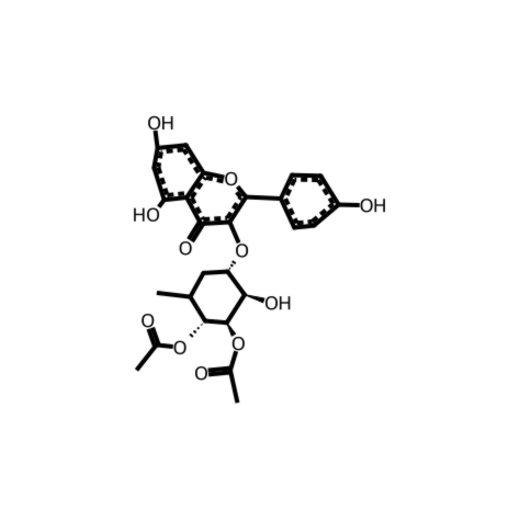 CC(=O)O[C@@H]1[C@H](O)[C@@H](Oc2c(-c3ccc(O)cc3)oc3cc(O)cc(O)c3c2=O)CC(C)[C@H]1OC(C)=O